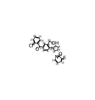 O=C(c1ccc(N2CC[C@H](Oc3ncccc3F)C2)c(CO)c1)c1ccccc1Cl